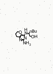 CCCCC(CO)Nc1nc(N)nc2c1OCCC2